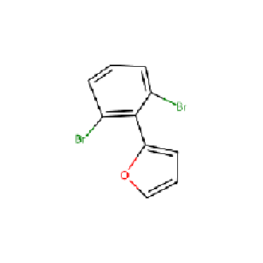 Brc1cccc(Br)c1-c1ccco1